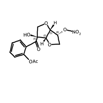 CC(=O)Oc1ccccc1C(=O)[C@]1(O)CO[C@@H]2[C@H](O[N+](=O)[O-])CO[C@@H]21